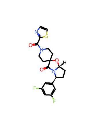 O=C(c1nccs1)N1CCC2(CC1)O[C@@H]1CC[C@@H](c3cc(F)cc(F)c3)N1C2=O